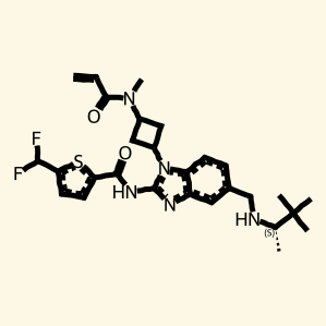 C=CC(=O)N(C)C1CC(n2c(NC(=O)c3ccc(C(F)F)s3)nc3cc(CN[C@@H](C)C(C)(C)C)ccc32)C1